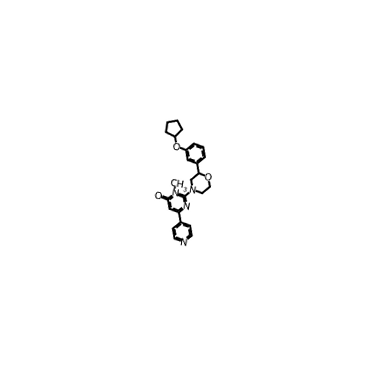 Cn1c(N2CCOC(c3cccc(OC4CCCC4)c3)C2)nc(-c2ccncc2)cc1=O